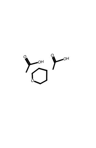 C1CCOCC1.CC(=O)O.CC(=O)O